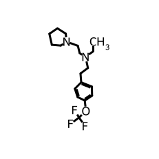 CCN(CCc1ccc(OC(F)(F)F)cc1)CCN1CCCCC1